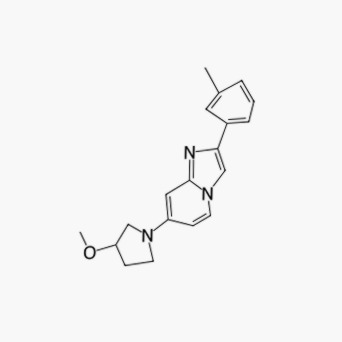 COC1CCN(c2ccn3cc(-c4cccc(C)c4)nc3c2)C1